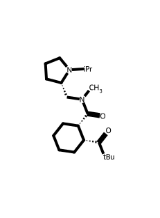 CC(C)N1CCC[C@H]1CN(C)C(=O)[C@H]1CCCC[C@H]1C(=O)C(C)(C)C